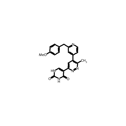 COc1ccc(Cc2cc(-c3cc(-c4c[nH]c(=O)[nH]c4=O)nnc3C)ccn2)cc1